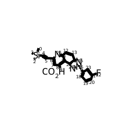 C[Si](C)(C)C#Cc1cc(C(=O)O)c2c(ccc3nn(-c4cccc(F)c4)nc32)n1